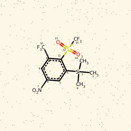 C[Si](C)(C)c1cc([N+](=O)[O-])cc(C(F)(F)F)c1S(=O)(=O)C(F)(F)F